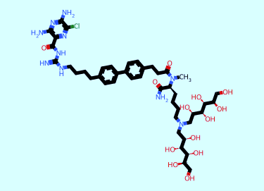 CN(C(=O)CCc1ccc(-c2ccc(CCCCNC(=N)NC(=O)c3nc(Cl)c(N)nc3N)cc2)cc1)[C@@H](CCCCN(C[C@H](O)[C@@H](O)[C@H](O)[C@H](O)CO)C[C@H](O)[C@@H](O)[C@H](O)[C@H](O)CO)C(N)=O